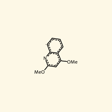 COc1cc(OC)c2ccc[c]c2n1